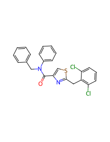 O=C(c1csc(Cc2c(Cl)cccc2Cl)n1)N(Cc1ccccc1)c1ccccc1